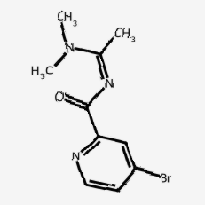 CC(=NC(=O)c1cc(Br)ccn1)N(C)C